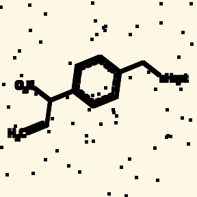 C=CC(c1ccc(CCCCCCCC)cc1)[N+](=O)[O-]